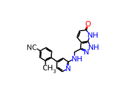 Cc1cc(C#N)ccc1-c1ccnc(NCc2n[nH]c3[nH]c(=O)ccc23)c1